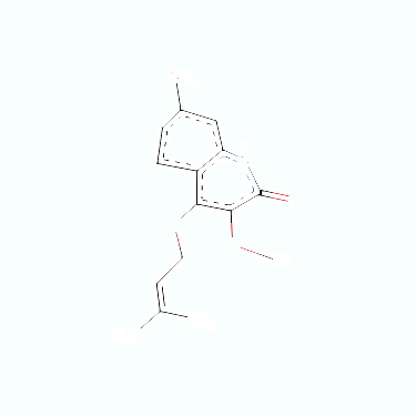 CC(C)=CCOc1c(OC(C)C)c(=O)[nH]c2cc([N+](=O)[O-])ccc12